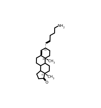 C[C@]12CC[C@@H](C=CCCCN)C=C1CCC1C2CC[C@]2(C)C(=O)CCC12